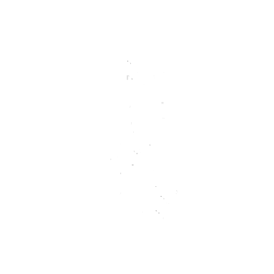 CCS(=O)(=O)N(Cc1ccc(C(=O)NN)cc1F)c1ccc2cnn(C)c2c1